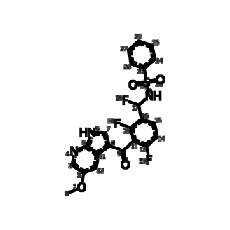 COc1cnc2[nH]cc(C(=O)c3c(F)ccc(C(F)NS(=O)(=O)c4ccccc4)c3F)c2c1